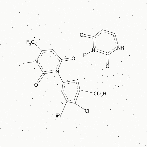 CC(C)c1cc(-n2c(=O)cc(C(F)(F)F)n(C)c2=O)cc(C(=O)O)c1Cl.O=c1cc[nH]c(=O)n1F